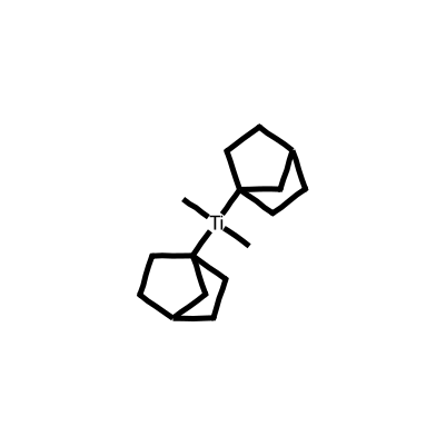 [CH3][Ti]([CH3])([C]12CCC(CC1)C2)[C]12CCC(CC1)C2